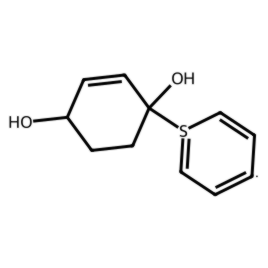 OC1C=CC(O)(S2=CC=[C]C=C2)CC1